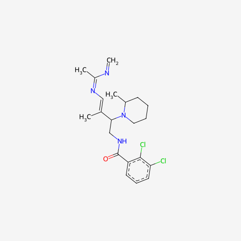 C=N/C(C)=N\C=C(/C)C(CNC(=O)c1cccc(Cl)c1Cl)N1CCCCC1C